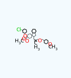 COC(=O)C1(Oc2cccc(Cl)c2)CCC2(CC1)c1ccccc1CC2C[C@@H](C)COCc1ccc(OC)cc1